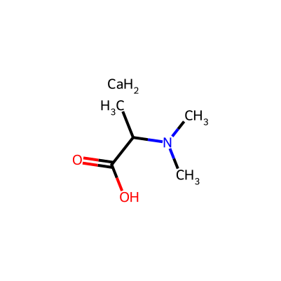 CC(C(=O)O)N(C)C.[CaH2]